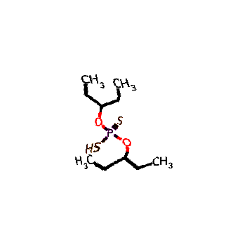 CCC(CC)OP(=S)(S)OC(CC)CC